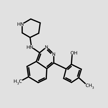 Cc1ccc(-c2nnc(NC3CCCNC3)c3cc(C)ccc23)c(O)c1